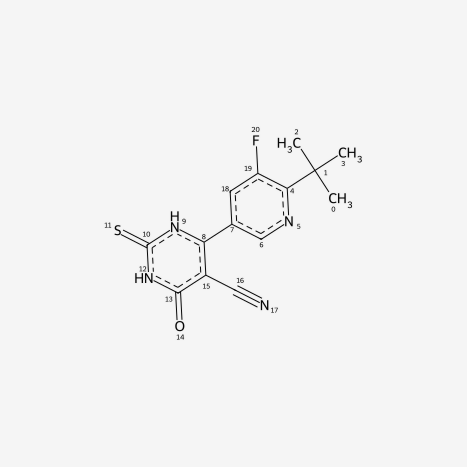 CC(C)(C)c1ncc(-c2[nH]c(=S)[nH]c(=O)c2C#N)cc1F